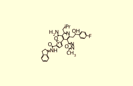 Cc1nnc(-c2c(CC(O)c3ccc(F)cc3)nc(CC(C)C)c(C(N)=O)c2-c2ccc(C(=O)N[C@@H]3CCc4ccccc43)s2)o1